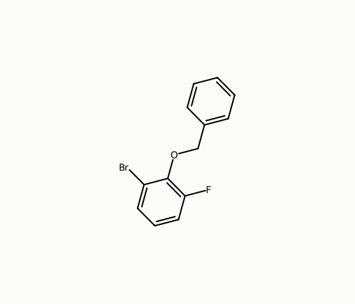 Fc1cccc(Br)c1OCc1ccccc1